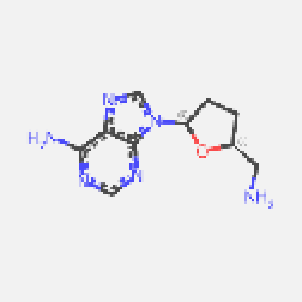 NC[C@@H]1CC[C@H](n2cnc3c(N)ncnc32)O1